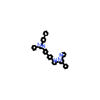 C1=CCC(c2ccc(-c3nc(-c4ccccc4)cc(-c4ccc(-c5ccc(-c6cccc(-c7cc(-c8ccccc8)cc(-c8ccccn8)n7)n6)cc5)cc4)n3)cc2)C=C1